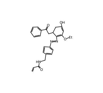 C=CC(=O)NCc1ccc(/N=N/C2=C(OCC)C=C(O)CC2CC(=O)c2ccccc2)cc1